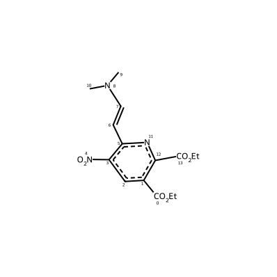 CCOC(=O)c1cc([N+](=O)[O-])c(C=CN(C)C)nc1C(=O)OCC